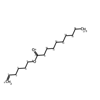 C=CCCCCOC(=O)CCCCCCCCC